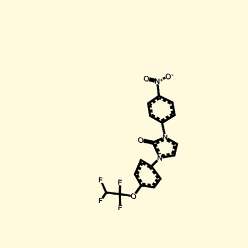 O=c1n(-c2ccc(OC(F)(F)C(F)F)cc2)ccn1-c1ccc([N+](=O)[O-])cc1